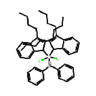 CCCCC1=C(CCCC)[CH]([Ti]([Cl])([Cl])([CH]2C(CCCC)=C(CCCC)c3ccccc32)[SiH](c2ccccc2)c2ccccc2)c2ccccc21